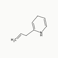 C=CCC1=CCC=CN1